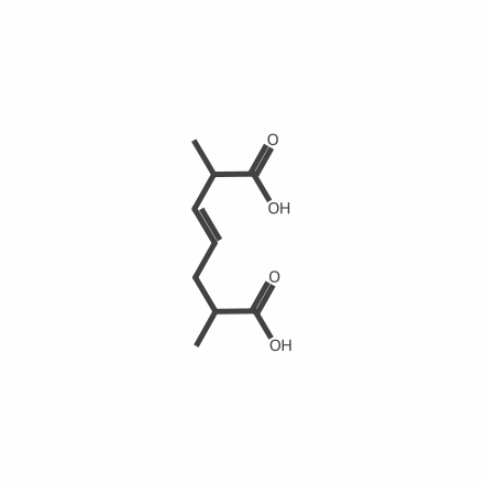 CC(C=CCC(C)C(=O)O)C(=O)O